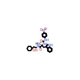 CC(Cc1c[nH]c2ccccc12)(NC(=O)Nc1ccc([N+](=O)[O-])cc1)C(=O)NCCC1(O)CCCCC1